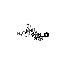 CC(O)/C(=C/N)N(N)C[C@H]1C[C@@H](NC(=O)c2cc(-c3ccccc3)no2)C1